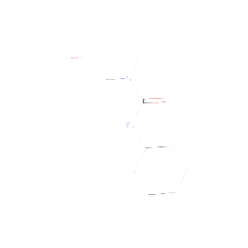 COSN(C)C(=O)NC1CCCCC1